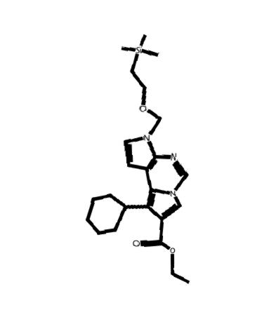 CCOC(=O)c1cn2cnc3c(ccn3COCC[Si](C)(C)C)c2c1C1CCCCC1